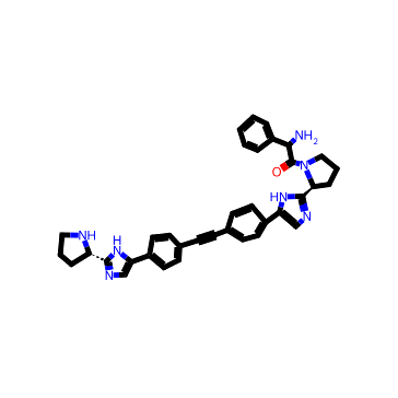 NC(C(=O)N1CCC[C@H]1c1ncc(-c2ccc(C#Cc3ccc(-c4cnc([C@@H]5CCCN5)[nH]4)cc3)cc2)[nH]1)c1ccccc1